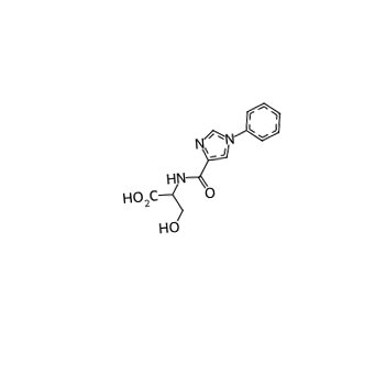 O=C(NC(CO)C(=O)O)c1cn(-c2ccccc2)cn1